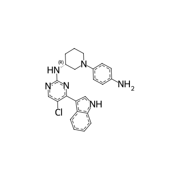 Nc1ccc(N2CCC[C@@H](Nc3ncc(Cl)c(-c4c[nH]c5ccccc45)n3)C2)cc1